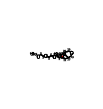 CC(C)(C)OCCOCCOCCN1CC2COCC(C1)C2OC(C)(C)C